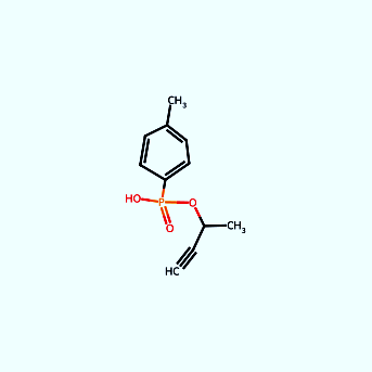 C#CC(C)OP(=O)(O)c1ccc(C)cc1